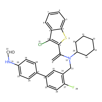 C=C(c1sc2ccccc2c1Cl)N(Cc1cc(-c2ccc(NC=O)cc2)ccc1F)C1CCCCC1